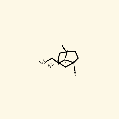 COCCN1[C@@H]2CC[C@H]1C[C@@H](N)C2